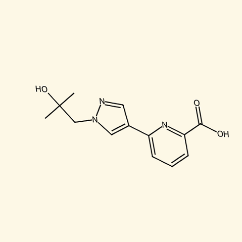 CC(C)(O)Cn1cc(-c2cccc(C(=O)O)n2)cn1